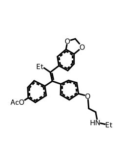 CCNCCOc1ccc(/C(=C(/CC)c2ccc3c(c2)OCO3)c2ccc(OC(C)=O)cc2)cc1